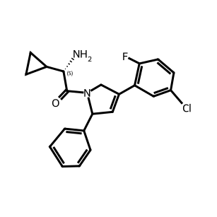 N[C@H](C(=O)N1CC(c2cc(Cl)ccc2F)=CC1c1ccccc1)C1CC1